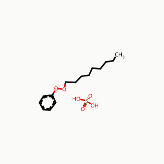 CCCCCCCCCOOc1ccccc1.O=S(=O)(O)O